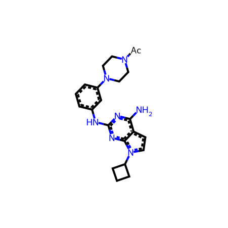 CC(=O)N1CCN(c2cccc(Nc3nc(N)c4ccn(C5CCC5)c4n3)c2)CC1